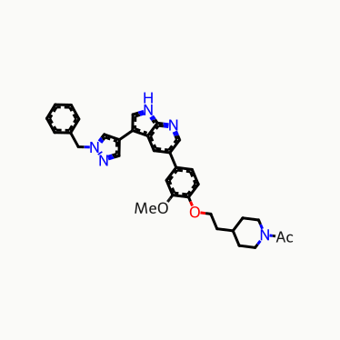 COc1cc(-c2cnc3[nH]cc(-c4cnn(Cc5ccccc5)c4)c3c2)ccc1OCCC1CCN(C(C)=O)CC1